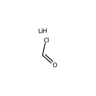 O=CCl.[LiH]